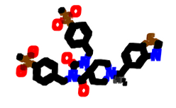 C[C@@H](c1ccc2scnc2c1)N1CCC2(CC1)C(=O)N(Cc1ccc(S(C)(=O)=O)cc1)C(=O)N2Cc1ccc(S(C)(=O)=O)cc1